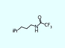 CC(C)CCCNC(=O)C(F)(F)F